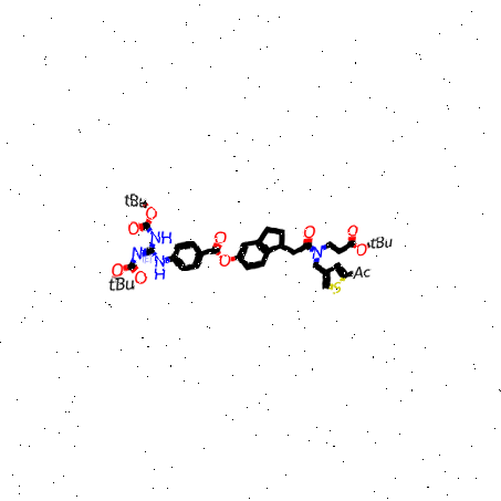 CC(=O)c1cc(CN(CCC(=O)OC(C)(C)C)C(=O)CC2CCc3cc(OC(=O)c4ccc(N/C(=N\C(=O)OC(C)(C)C)NC(=O)OC(C)(C)C)cc4)ccc32)cs1